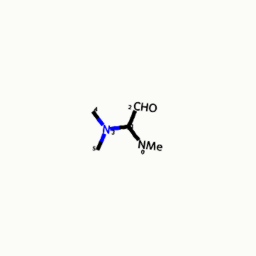 CN[C](C=O)N(C)C